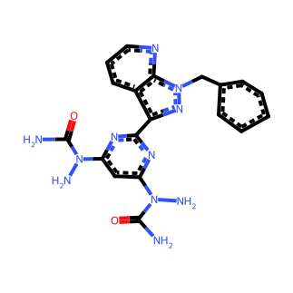 NC(=O)N(N)c1cc(N(N)C(N)=O)nc(-c2nn(Cc3ccccc3)c3ncccc23)n1